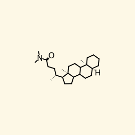 C[C@H](CCC(=O)N(C)C)C1CCC2C3CC[C@@H]4CCCC[C@]4(C)C3CC[C@@]21C